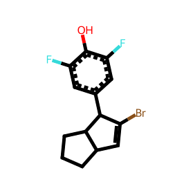 Oc1c(F)cc(C2C(Br)=CC3CCCC32)cc1F